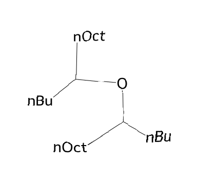 CCCCCCCCC(CCCC)OC(CCCC)CCCCCCCC